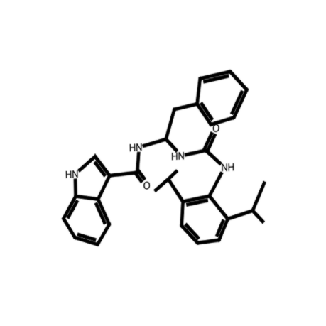 CC(C)c1cccc(C(C)C)c1NC(=O)NC(Cc1ccccc1)NC(=O)c1[c][nH]c2ccccc12